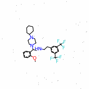 COc1ccccc1C(CNCCc1cc(C(F)(F)F)cc(C(F)(F)F)c1)N1CCN(C2CCCCC2)CC1